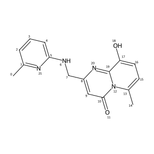 Cc1cccc(NCc2cc(=O)n3c(C)ccc(O)c3n2)n1